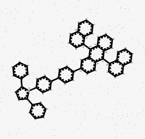 c1ccc(-c2ccc(-c3ccccc3)n2-c2ccc(-c3ccc(-c4ccc5c(-c6cccc7ccccc67)c6ccccc6c(-c6cccc7ccccc67)c5c4)cc3)cc2)cc1